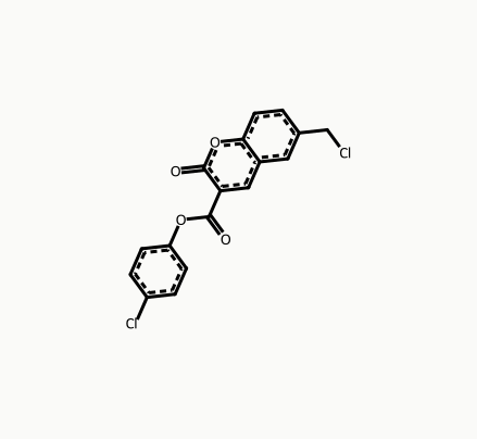 O=C(Oc1ccc(Cl)cc1)c1cc2cc(CCl)ccc2oc1=O